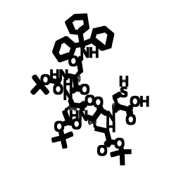 CC(C)(C)OC(=O)CC[C@H](NC(=O)[C@H](CC(=O)OC(C)(C)C)NC(=O)[C@H](CC(=O)NC(c1ccccc1)(c1ccccc1)c1ccccc1)NC(=O)OC(C)(C)C)C(=O)N[C@@H](CS)C(=O)O